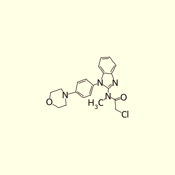 CN(C(=O)CCl)c1nc2ccccc2n1-c1ccc(N2CCOCC2)cc1